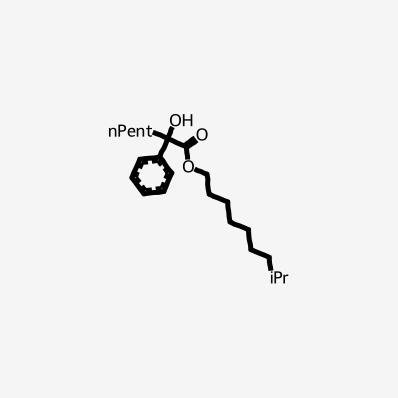 CCCCCC(O)(C(=O)OCCCCCCCC(C)C)c1ccccc1